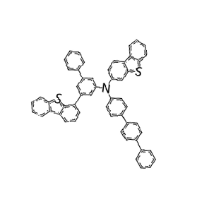 c1ccc(-c2ccc(-c3ccc(N(c4cc(-c5ccccc5)cc(-c5cccc6c5sc5ccccc56)c4)c4ccc5c(c4)sc4ccccc45)cc3)cc2)cc1